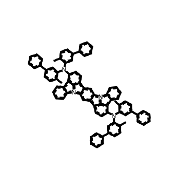 Cc1ccc(-c2ccccc2)cc1N(c1cc(-c2ccccc2)ccc1C)c1ccc2c3cc4c(cc3n3c5ccccc5c1c23)c1ccc(N(c2cc(-c3ccccc3)ccc2C)c2cc(-c3ccccc3)ccc2C)c2c3ccccc3n4c12